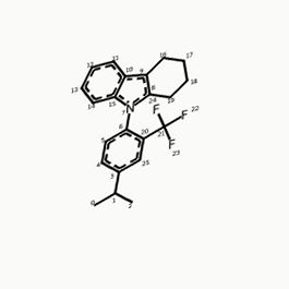 CC(C)c1ccc(-n2c3c(c4ccccc42)CCCC3)c(C(F)(F)F)c1